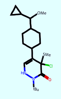 COC(C1CCC(C2=CNN(C(C)(C)C)C(=O)C2(Cl)SC)CC1)C1CC1